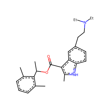 CCN(CC)CCc1ccc2[nH]c(C)c(C(=O)OC(C)c3c(C)cccc3C)c2c1